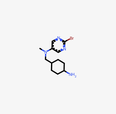 CN(CC1CCC(N)CC1)c1cnc(Br)nc1